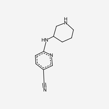 N#Cc1ccc(NC2CCCNC2)nc1